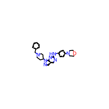 c1ccc(CN2CCC(n3ncc4cnc(Nc5ccc(N6CCOCC6)cc5)nc43)CC2)cc1